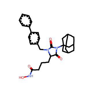 O=C(CCCC1C(=O)N(C23CC4CC(CC(C4)C2)C3)C(=O)N1Cc1ccc(-c2ccccc2)cc1)NO